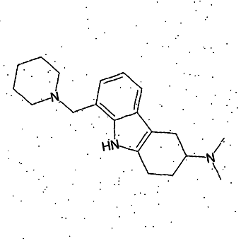 CN(C)C1CCc2[nH]c3c(CN4CCCCC4)cccc3c2C1